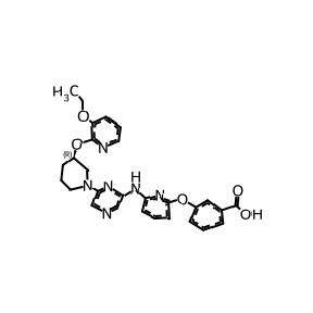 CCOc1cccnc1O[C@@H]1CCCN(c2cncc(Nc3cccc(Oc4cccc(C(=O)O)c4)n3)n2)C1